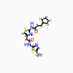 CC(C)c1cnc(NC(=O)Cc2csc(NC(=O)CCC3CCCC3)n2)s1